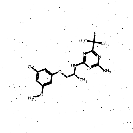 COc1cc(Cl)cc(OCC(C)Nc2nc(N)nc(C(C)(C)F)n2)c1